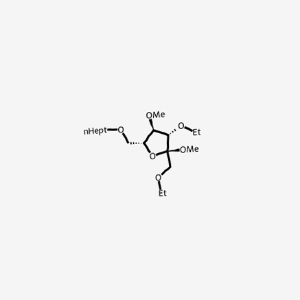 CCCCCCCOC[C@H]1O[C@](COCC)(OC)[C@@H](OCC)[C@@H]1OC